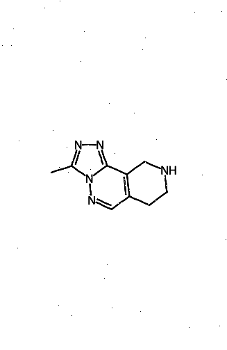 Cc1nnc2c3c(cnn12)CCNC3